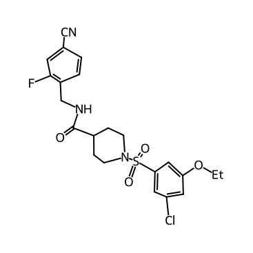 CCOc1cc(Cl)cc(S(=O)(=O)N2CCC(C(=O)NCc3ccc(C#N)cc3F)CC2)c1